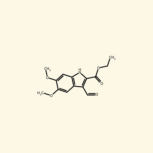 CCOC(=O)c1[nH]c2cc(OC)c(OC)cc2c1C=O